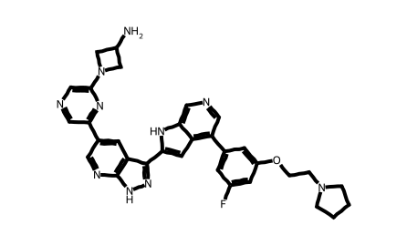 NC1CN(c2cncc(-c3cnc4[nH]nc(-c5cc6c(-c7cc(F)cc(OCCN8CCCC8)c7)cncc6[nH]5)c4c3)n2)C1